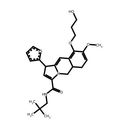 COC1=CCC2CN3C(C(=O)NCC(C)(C)C)=CC(c4cccs4)C3=CC2=C1OCCCO